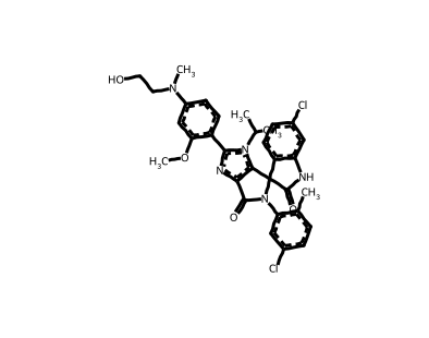 COc1cc(N(C)CCO)ccc1-c1nc2c(n1C(C)C)C1(C(=O)Nc3cc(Cl)ccc31)N(c1cc(Cl)ccc1C)C2=O